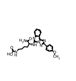 COc1ccc(-c2nc3c4ccccc4nc(NC(CCCCNC(=O)O)C(N)=O)n3n2)cc1